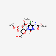 CCCCOC(=O)Nc1nc(=O)n([C@@H]2O[C@H](CO)[C@@H](OC(=O)OCCCC)[C@H]2OC(=O)OCCCC)cc1F